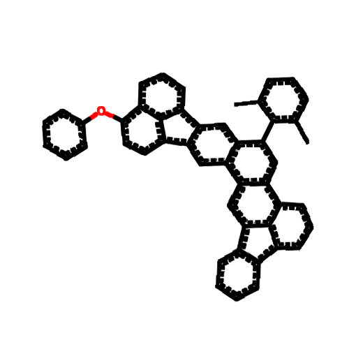 Cc1cccc(C)c1-c1cc2c(cc3c4ccccc4c4cccc2c43)c2cc3c(cc12)c1cccc2c(Oc4ccccc4)ccc3c21